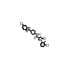 Cc1c(Cl)cccc1N1CC(C(=O)NC2CCC(c3nc4cc(Cl)ccc4o3)CC2)CC1=O